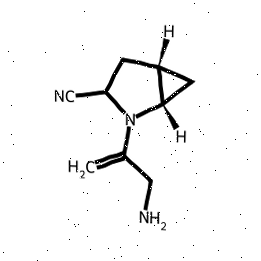 C=C(CN)N1C(C#N)C[C@@H]2C[C@@H]21